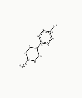 CN1CCN(c2ccc(F)cc2)CC1